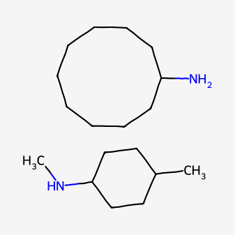 CNC1CCC(C)CC1.NC1CCCCCCCCC1